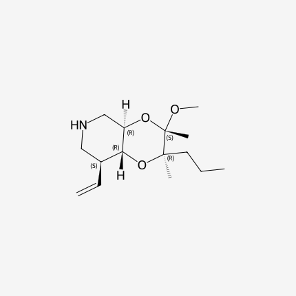 C=C[C@H]1CNC[C@H]2O[C@](C)(OC)[C@@](C)(CCC)O[C@H]12